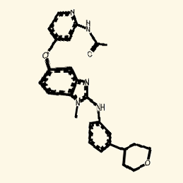 CC(=O)Nc1cc(Oc2ccc3c(c2)nc(Nc2cccc(C4CCOCC4)c2)n3C)ccn1